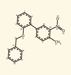 Cc1ccc(-c2ccccc2OCc2ccccc2)cc1[N+](=O)[O-]